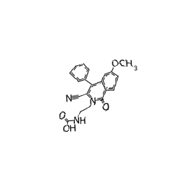 COc1ccc2c(=O)n(CCNC(=O)O)c(C#N)c(-c3ccccc3)c2c1